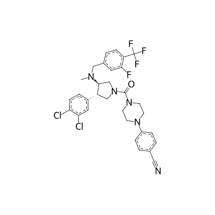 CN(Cc1ccc(C(F)(F)F)c(F)c1)[C@H]1CN(C(=O)N2CCN(c3ccc(C#N)cc3)CC2)C[C@@H]1c1ccc(Cl)c(Cl)c1